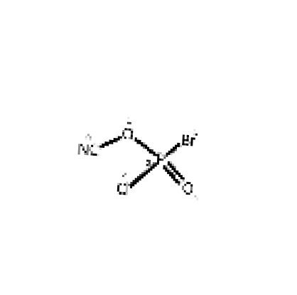 N#COP(=O)(Cl)Br